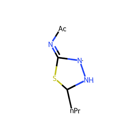 CCCC1N[N]C(=NC(C)=O)S1